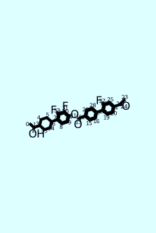 CC(O)C1CCC(c2ccc(OC(=O)c3ccc(-c4ccc(C5CO5)cc4F)cc3)c(F)c2F)CC1